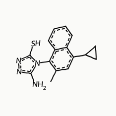 Cc1cc(C2CC2)c2ccccc2c1-n1c(N)nnc1S